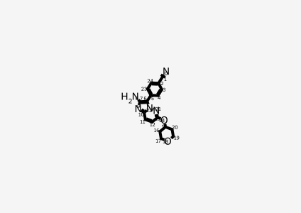 N#Cc1ccc(-c2c(N)nc3ccc(OC4CCOCC4)nn23)cc1